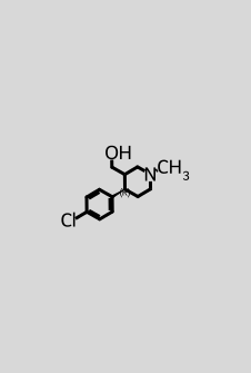 CN1CC[C@@H](c2ccc(Cl)cc2)C(CO)C1